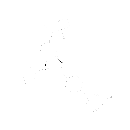 CC(C)(C)OC(=O)N[C@H]1CCN(C(=O)C2(F)CCC2)C[C@H]1COC1CCC(c2cccc(F)c2)CC1